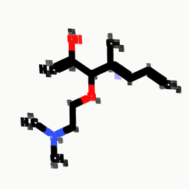 C=C/C=C(\C)C(OCCN(C)C)C(=C)O